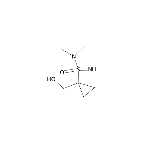 CN(C)S(=N)(=O)C1(CO)CC1